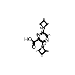 O=C(O)c1nc(N2CCC2)cnc1N1CCC1